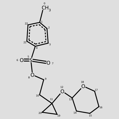 Cc1ccc(S(=O)(=O)OCCC2(OC3CCCCO3)CC2)cc1